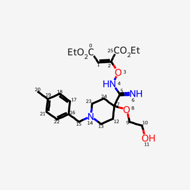 CCOC(=O)C=C(ONC(=N)C1(OCCO)CCN(Cc2ccc(C)cc2)CC1)C(=O)OCC